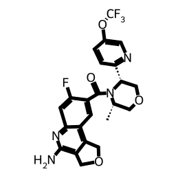 C[C@H]1COC[C@@H](c2ccc(OC(F)(F)F)cn2)N1C(=O)c1cc2c3c(c(N)nc2cc1F)COC3